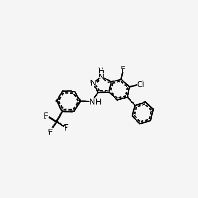 Fc1c(Cl)c(-c2ccccc2)cc2c(Nc3cccc(C(F)(F)F)c3)n[nH]c12